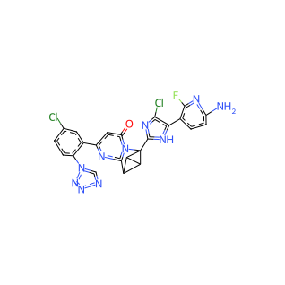 Nc1ccc(-c2[nH]c(C34C5C(c6nc(-c7cc(Cl)ccc7-n7cnnn7)cc(=O)n63)C54)nc2Cl)c(F)n1